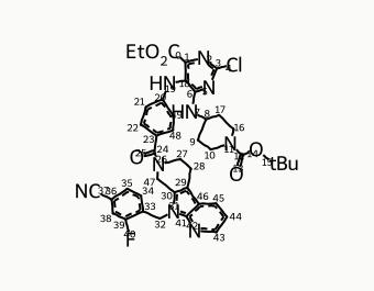 CCOC(=O)c1nc(Cl)nc(NC2CCN(C(=O)OC(C)(C)C)CC2)c1Nc1ccc(C(=O)N2CCc3c(n(Cc4ccc(C#N)cc4F)c4ncccc34)C2)cc1